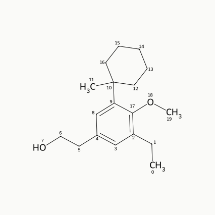 CCc1cc(CCO)cc(C2(C)CCCCC2)c1OC